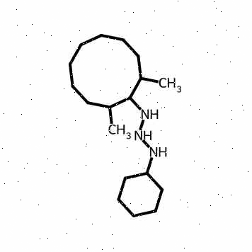 CC1CCCCCCCC(C)C1NNNC1CCCCC1